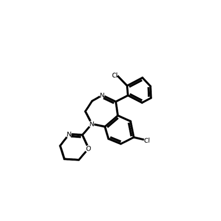 Clc1ccc2c(c1)C(c1ccccc1Cl)=NCCN2C1=NCCCO1